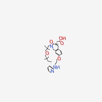 CCC(C)(C)COCC(C)(C)CN1Cc2cc(OCCCNc3ccccn3)ccc2C[C@@H](CC(=O)O)C1=O